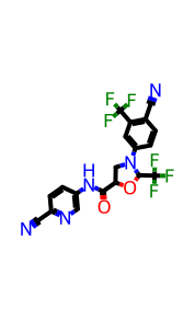 N#Cc1ccc(NC(=O)C2CN(c3ccc(C#N)c(C(F)(F)F)c3)C(C(F)(F)F)O2)cn1